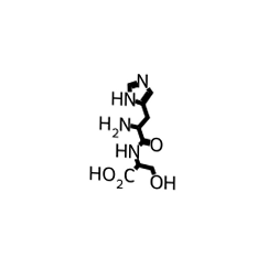 NC(Cc1cnc[nH]1)C(=O)NC(CO)C(=O)O